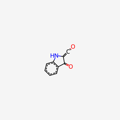 O=C=C1Nc2ccccc2C1=O